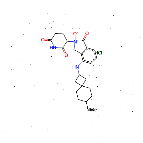 CNC1CCC2(CC1)CC(Nc1cccc3c1C[N+]([O-])(C1CCC(=O)NC1=O)C3=O)C2.Cl